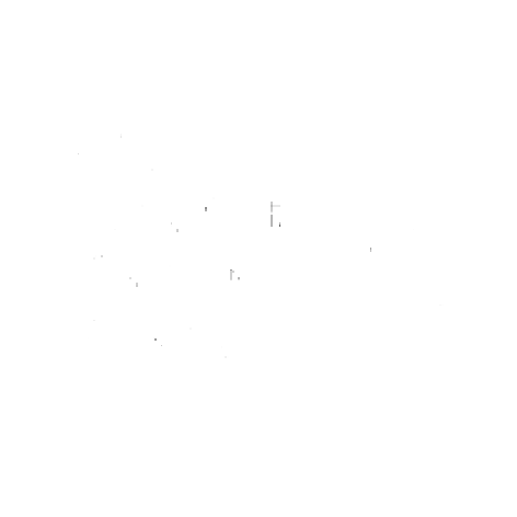 Cn1c(=O)c2nc(NCCN3CCCCC3)nnc2n(Cc2cccnc2)c1=O